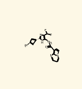 CC(C)[C@H]1C[C@H](c2nc(C(F)F)c(NC(=O)c3ccn4cccnc34)[nH]2)C1